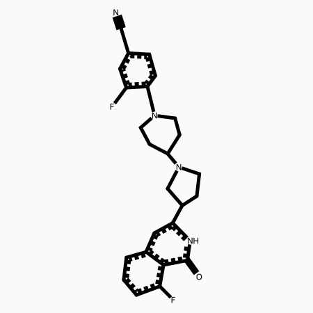 N#Cc1ccc(N2CCC(N3CCC(c4cc5cccc(F)c5c(=O)[nH]4)C3)CC2)c(F)c1